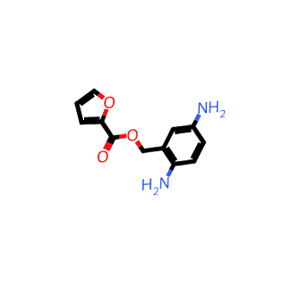 Nc1ccc(N)c(COC(=O)c2ccco2)c1